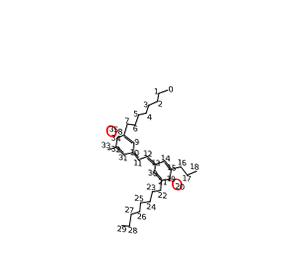 CCCCCCCCC1=C/C(=C\C=C2\C=C(CCC)C(=O)C(CCCCCCCC)=C2)C=C(C)C1=O